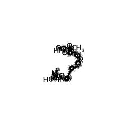 Cn1c(=O)n(C2CCC(=O)NC2=O)c2cccc(CN3CCC(OC4CCN(Cc5cccc(C#Cc6cc(NC(=O)Nc7cc(F)ncc7CO)ccn6)c5)CC4)CC3)c21